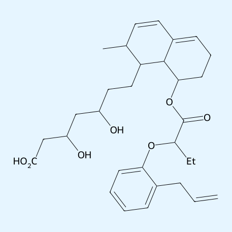 C=CCc1ccccc1OC(CC)C(=O)OC1CCC=C2C=CC(C)C(CCC(O)CC(O)CC(=O)O)C21